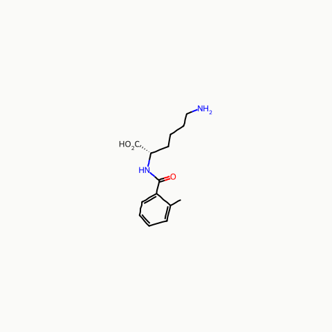 Cc1ccccc1C(=O)N[C@@H](CCCCN)C(=O)O